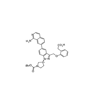 CC(C)COC(=O)N1CC[C@H](n2nc(COc3ccccc3CC(=O)O)c3cc(-c4ccc5ccnc(N)c5c4)ccc32)C1